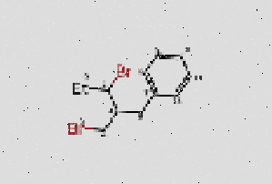 CCC(Br)C(CBr)Cc1ccccc1